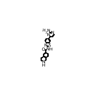 Nc1nccc(-c2ccc3nc(NC(=O)c4ccc5c(c4)CCNC5)sc3c2)n1